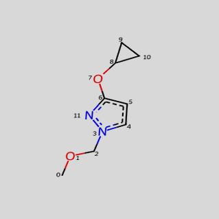 COCn1ccc(OC2CC2)n1